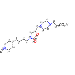 CC(C)(C)N1CCC(CCCCN2CC(CN3CCN(CCC(=O)O)CC3)OC2=O)CC1